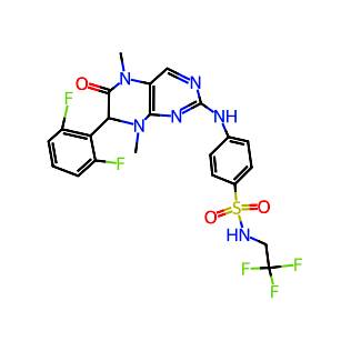 CN1C(=O)C(c2c(F)cccc2F)N(C)c2nc(Nc3ccc(S(=O)(=O)NCC(F)(F)F)cc3)ncc21